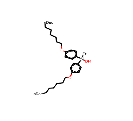 CCCCCCCCCCCCCCCCOc1ccc([Si](O)(CC)c2ccc(OCCCCCCCCCCCCCCCC)cc2)cc1